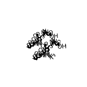 O=C(O)Cn1nnnc1SCC1=C(C(=O)[O-])N2C(=O)C(NC(=O)Cc3ccsc3O)[C@H]2SC1.O=C(O)Cn1nnnc1SCC1=C(C(=O)[O-])N2C(=O)C(NC(=O)Cc3ccsc3O)[C@H]2SC1.[K+].[K+]